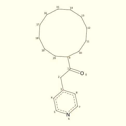 O=C(Cc1ccncc1)C1CCCCCCCCCCC1